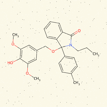 CCCN1C(=O)c2ccccc2C1(OCc1cc(OC)c(O)c(OC)c1)c1ccc(C)cc1